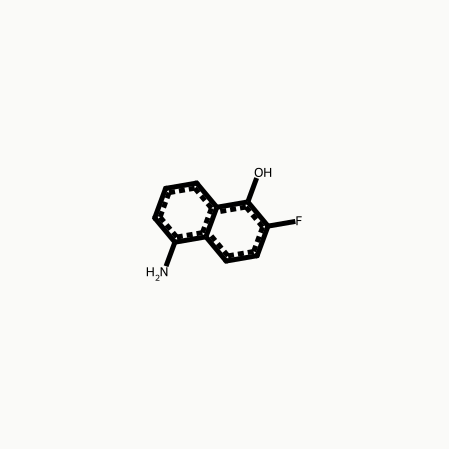 Nc1cccc2c(O)c(F)ccc12